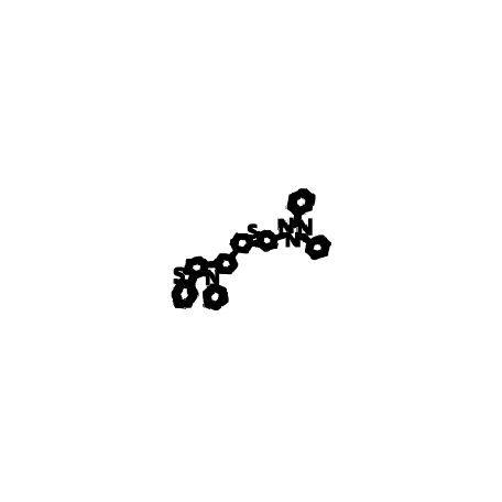 c1ccc(-c2nc(-c3ccccc3)nc(-c3ccc4c(c3)sc3ccc(-c5ccc6c(c5)c5ccc7sc8ccccc8c7c5n6-c5ccccc5)cc34)n2)cc1